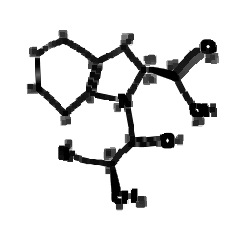 C[C@@H](Br)C(=O)N1C2=C(CCCC2)C[C@H]1C(=O)O